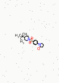 CC(C)(C)C1CCN(S(=O)(=O)c2ccc(N3CCCC3=O)cc2)CC1